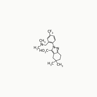 CN(C)Cc1cc(C(F)(F)F)ccc1-n1nc2c(c1C(=O)O)CC(C)(C)CC2